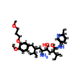 COCCCOc1cc(CC(CC(N)C(O)CC(C(=O)Nc2ccc(C)nc2)C(C)C)C(C)C)ccc1OC